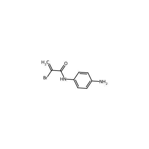 C=C(Br)C(=O)Nc1ccc(N)cc1